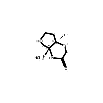 Cl.O=C1CO[C@@H]2CCNC[C@H]2N1